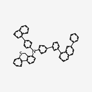 c1ccc(-c2ccc3cccc(-c4cccc(-c5ccc(N(c6ccc(-c7cccc8ccccc78)cc6)c6cccc7c6CSc6ccccc6-7)cc5)c4)c3c2)cc1